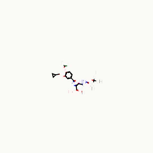 C[C@H](NC(=O)OC(C)(C)C)c1oc(-c2ccc(OC(F)F)c(OCC3CC3)c2)nc1C(=O)O